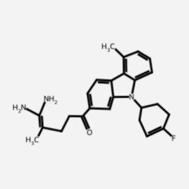 CC(CCC(=O)c1ccc2c3c(C)cccc3n(C3CC=C(F)CC3)c2c1)=C(N)N